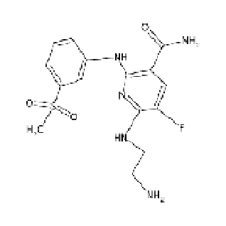 CS(=O)(=O)c1cccc(Nc2nc(NCCN)c(F)cc2C(N)=O)c1